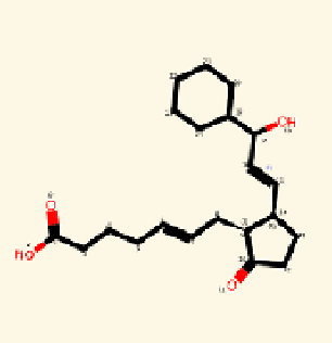 O=C(O)CCCC=CC[C@@H]1C(=O)CC[C@@H]1/C=C/C(O)C1CCCCC1